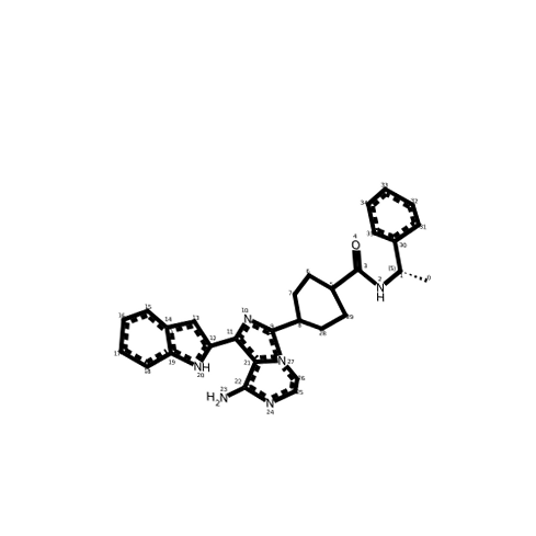 C[C@H](NC(=O)C1CCC(c2nc(-c3cc4ccccc4[nH]3)c3c(N)nccn23)CC1)c1ccccc1